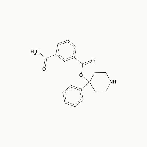 CC(=O)c1cccc(C(=O)OC2(c3ccccc3)CCNCC2)c1